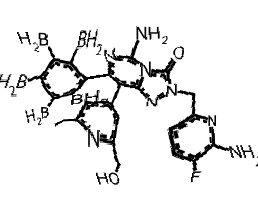 Bc1c(B)c(B)c(-c2nc(N)n3c(=O)n(Cc4ccc(F)c(N)n4)nc3c2-c2cc(C)nc(CO)c2)c(B)c1B